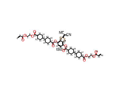 C=CC(=O)OCCOC(=O)C1CCC(C2CCC(C(=O)Oc3cc(C(C)(C)C)c(OC(=O)C4CCC(C5CCC(C(=O)OCCOC(=O)C=C)CC5)CC4)c4c3SC(=C(C#N)C#N)S4)CC2)CC1